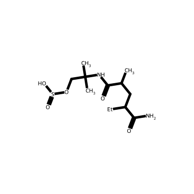 CCC(CC(C)C(=O)NC(C)(C)COS(=O)O)C(N)=O